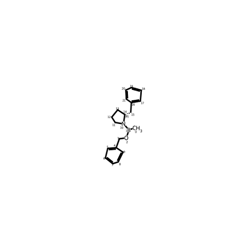 CB(OCc1ccccc1)N1CCC[C@@H]1Cc1ccccc1